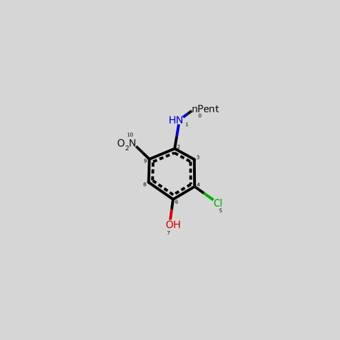 CCCCCNc1cc(Cl)c(O)cc1[N+](=O)[O-]